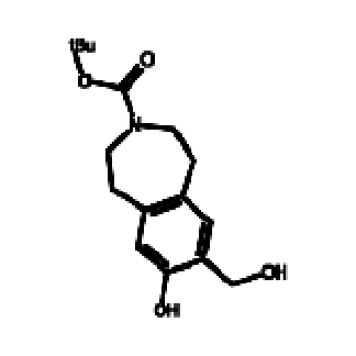 CC(C)(C)OC(=O)N1CCc2cc(O)c(CO)cc2CC1